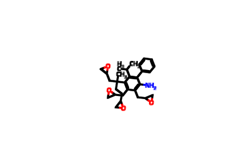 CC(C)c1c(-c2ccccc2)c(N)c(CC2CO2)c(CC2CO2)c1C(C)(CCC1CO1)CC1CO1